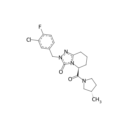 C[C@H]1CCN(C(=O)[C@@H]2CCCc3nn(Cc4ccc(F)c(Cl)c4)c(=O)n32)C1